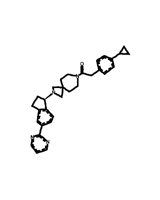 O=C(Cc1ccc(C2CC2)cc1)N1CCC2(CC1)CN([C@@H]1CCc3cc(-c4ncccn4)ccc31)C2